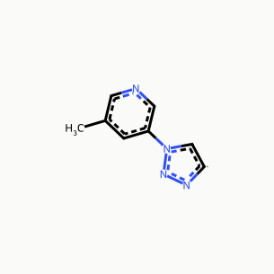 Cc1cncc(-n2c[c]nn2)c1